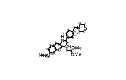 COC(CNC(=O)/C(=C\c1ccc(N=[N+]=[N-])cc1)NC(=O)c1ccc(CN2CCOCC2)cc1)OC